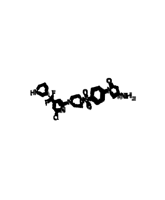 N[C@@H]1CC(=O)N(c2ccc(S(=O)(=O)N3CCN(c4cc(C(F)(F)[C@H]5CCCNC5)cc(Cl)n4)CC3)cc2)C1